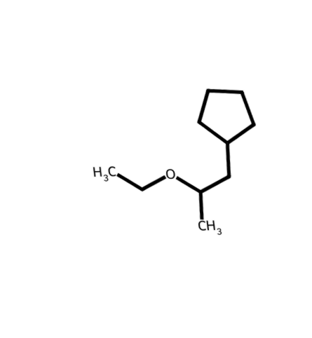 CCOC(C)CC1CCCC1